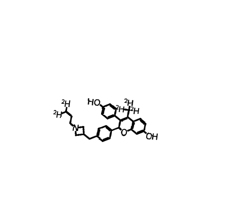 [2H]C([2H])CCN1CC(Cc2ccc(C3Oc4cc(O)ccc4C(C([2H])([2H])[2H])=C3c3ccc(O)cc3)cc2)C1